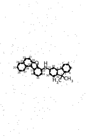 CC1(C)c2ccccc2-c2cc(Nc3cccc4c3oc3ccc5ccccc5c34)ccc21